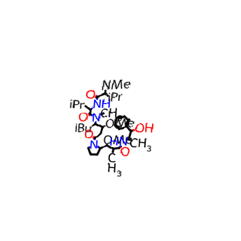 CCC(C)C(C(CC(=O)N1CCCC1C(OC)C(C)C(=O)NC(C)C(O)c1ccccc1)OC)N(C)C(=O)C(NC(=O)C(NC)C(C)C)C(C)C